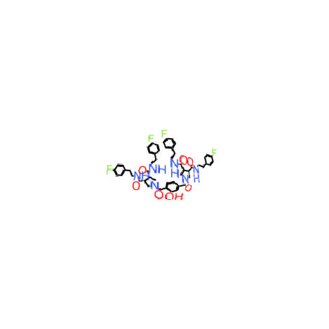 O=C(NCCc1ccc(F)cc1)C1CN(C(=O)c2ccc(C(=O)N3C[C@@H](C(=O)NCCc4ccc(F)cc4)[C@H](C(=O)NCCc4ccc(F)cc4)C3)c(O)c2)CC1C(=O)NCCc1ccc(F)cc1